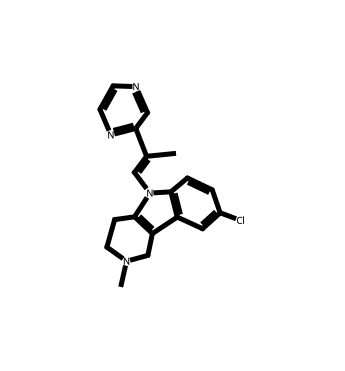 C/C(=C\n1c2c(c3cc(Cl)ccc31)CN(C)CC2)c1cnccn1